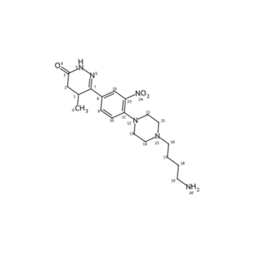 CC1CC(=O)NN=C1c1ccc(N2CCN(CCCCN)CC2)c([N+](=O)[O-])c1